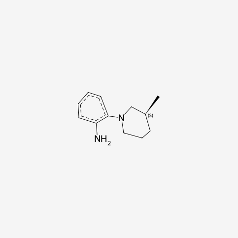 C[C@H]1CCCN(c2ccccc2N)C1